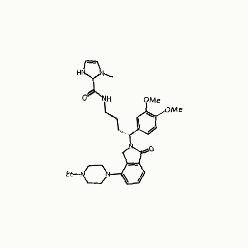 CCN1CCN(c2cccc3c2CN([C@H](CCCNC(=O)C2NC=CN2C)c2ccc(OC)c(OC)c2)C3=O)CC1